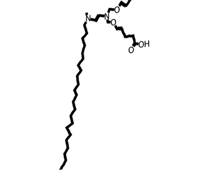 CCCCCCCCCCCCCCCCCCCCCCCCN(C)C=CN(COC=CCCC(=O)O)COC=CCCC(=O)O